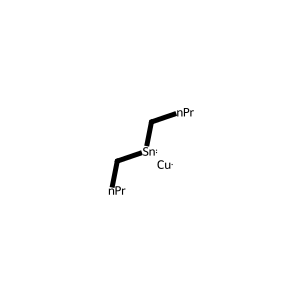 CCC[CH2][Sn][CH2]CCC.[Cu]